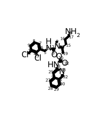 CN(C(=O)NCc1cccc(Cl)c1Cl)[C@@H](CCCN)COC(=O)Nc1cc2ccccc2cn1